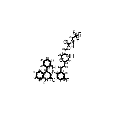 NC(=O)[C@@H](Nc1ccc(F)cc1CC[C@@H]1CN[C@H](COC(=O)NCC(F)(F)F)CO1)C(c1ccccc1)c1ccccc1